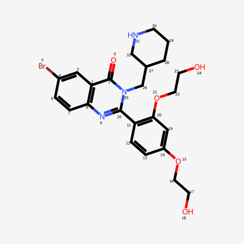 O=c1c2cc(Br)ccc2nc(-c2ccc(OCCO)cc2OCCO)n1CC1CCCNC1